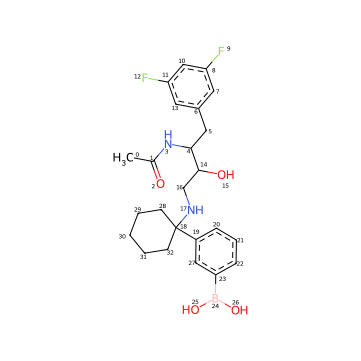 CC(=O)NC(Cc1cc(F)cc(F)c1)C(O)CNC1(c2cccc(B(O)O)c2)CCCCC1